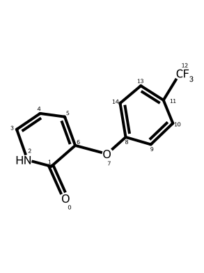 O=c1[nH]cccc1Oc1ccc(C(F)(F)F)cc1